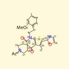 COc1ccccc1CCN1C(=O)C2(CCN(C(C)=O)CC2)C(=O)c2c1sc(-c1ncco1)c2C